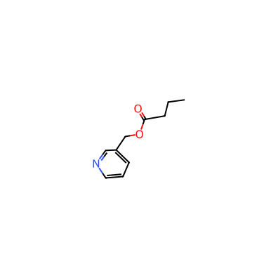 CCCC(=O)OCc1cccnc1